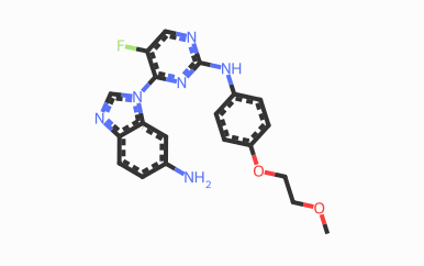 COCCOc1ccc(Nc2ncc(F)c(-n3cnc4ccc(N)cc43)n2)cc1